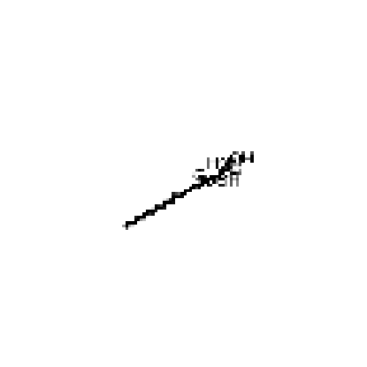 CCCCCCCCCCC=CCCCCCC(=O)OCC(O)COP(=O)(O)O